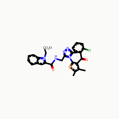 CCOC(=O)Cn1c(C(=O)NCc2nnc(C)n2-c2sc(C)c(C)c2C(=O)c2ccccc2Cl)cc2ccccc21